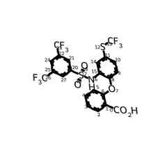 O=C(O)c1ccccc1Oc1ccc(SC(F)(F)F)cc1NS(=O)(=O)c1cc(C(F)(F)F)cc(C(F)(F)F)c1